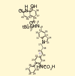 CC(C)(C)[Si](C)(C)O[C@@H](CNCc1ccc2c(ccn2CC/C=C/c2ccc(-c3ccccc3)c(NC(=O)O)c2)c1)c1ccc(O)c2[nH]c(=O)ccc12